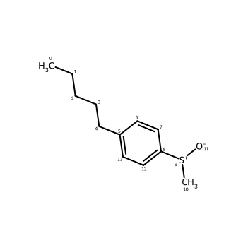 CCCCCc1ccc([S+](C)[O-])cc1